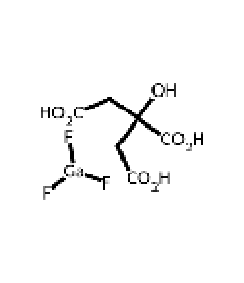 O=C(O)CC(O)(CC(=O)O)C(=O)O.[F][Ga]([F])[F]